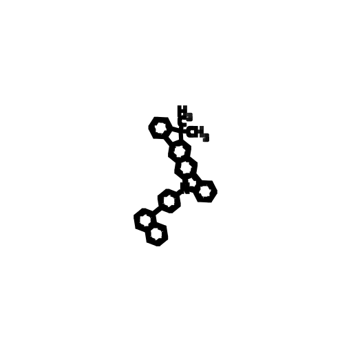 CC1(C)c2ccccc2-c2cc3cc4c(cc3cc21)c1ccccc1n4-c1ccc(-c2cccc3ccccc23)cc1